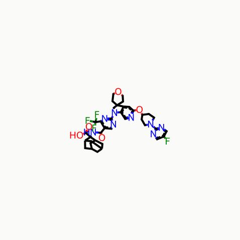 O=C(NC1(C(=O)O)C2CC3CC(C2)CC1C3)c1cnc(N2CC3(CCOCC3)c3cc(OC4CCN(c5ncc(F)cn5)CC4)ncc32)nc1C(F)(F)F